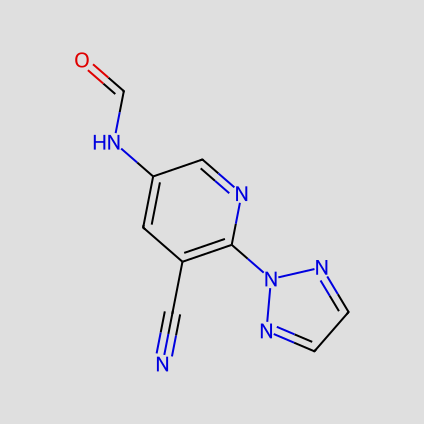 N#Cc1cc(NC=O)cnc1-n1nccn1